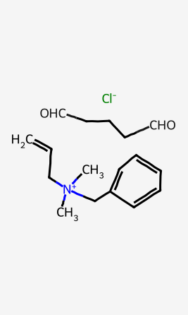 C=CC[N+](C)(C)Cc1ccccc1.O=CCCCC=O.[Cl-]